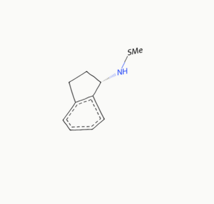 CSN[C@H]1CCc2ccccc21